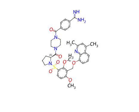 COc1ccc(S(=O)(=O)N2CCC[C@H]2C(=O)N2CCN(C(=O)c3ccc(C(=N)N)cc3)CC2)c(OC)c1COc1cccc2c(C)cc(C)nc12